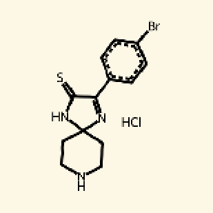 Cl.S=C1NC2(CCNCC2)N=C1c1ccc(Br)cc1